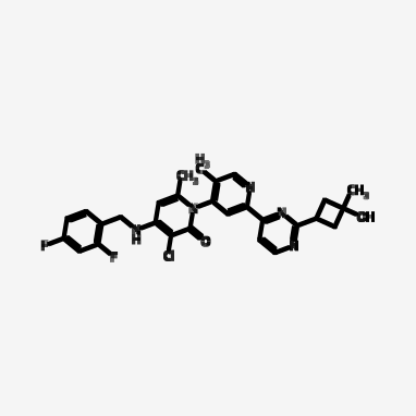 Cc1cnc(-c2ccnc(C3CC(C)(O)C3)n2)cc1-n1c(C)cc(NCc2ccc(F)cc2F)c(Cl)c1=O